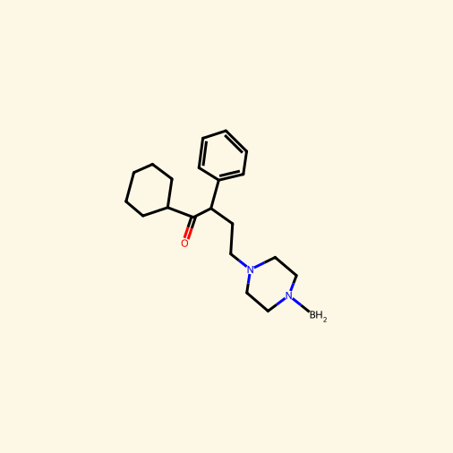 BN1CCN(CCC(C(=O)C2CCCCC2)c2ccccc2)CC1